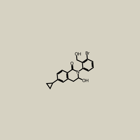 O=C1c2ccc(C3CC3)cc2CC(O)N1c1cccc(Br)c1CO